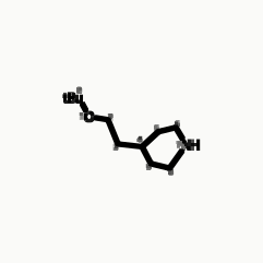 CC(C)(C)OCCC1CCNCC1